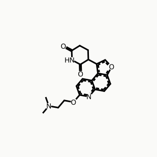 CN(C)CCOc1ccc2c(ccc3occ(C4CCC(=O)NC4=O)c32)n1